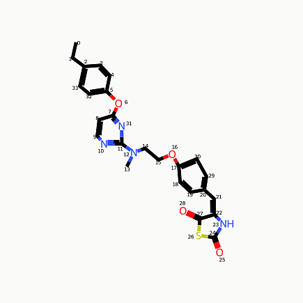 CCc1ccc(Oc2ccnc(N(C)CCOc3ccc(C=C4NC(=O)SC4=O)cc3)n2)cc1